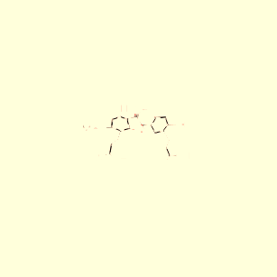 COc1ccc2c(c1CC=C(C)C)O[C@H]1c3cc(CC=C(C)C)c(O)cc3OC[C@@]21O